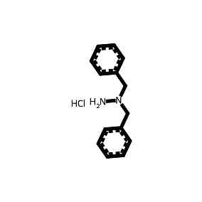 Cl.NN(Cc1ccccc1)Cc1ccccc1